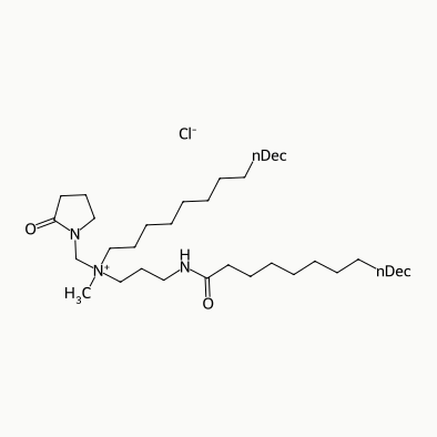 CCCCCCCCCCCCCCCCCC[N+](C)(CCCNC(=O)CCCCCCCCCCCCCCCCC)CN1CCCC1=O.[Cl-]